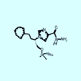 CC(C)(C)[Si](C)(C)OC[C@H](CCc1ccccc1)n1cnc(C(=O)NN)c1